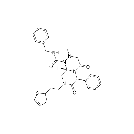 CN1CC(=O)N2[C@@H](c3ccccc3)C(=O)N(CCC3CC=CS3)C[C@@H]2N1C(=O)NCc1ccccc1